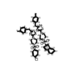 Cc1ccc(Cc2nsc(N3CCN(S(=O)(=O)c4ccc(Cl)cc4)CC3)n2)cc1.Cc1ccc(Cc2nsc(N3CCN(S(=O)(=O)c4ccc5ccccc5c4)CC3)n2)cc1